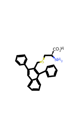 N[C@@H](CSCc1c(-c2ccccc2)cc2ccccc2c1-c1ccccc1)C(=O)O